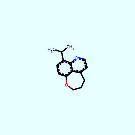 CC(C)c1ccc2c3c(ccnc13)CCCO2